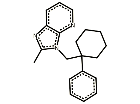 Cc1nc2cccnc2n1CC1(c2ccccc2)CCCCC1